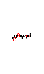 CCOC(C)(C)CC/C(C)=C/COc1ccc2c(c1)OCC2